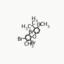 COc1ccc(Oc2c(Br)cc(Br)c(C)c2Br)cc1C(C)C